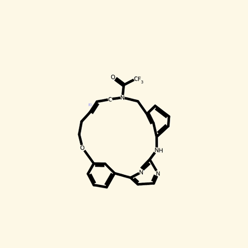 O=C(N1C/C=C/CCOc2cccc(c2)-c2ccnc(n2)Nc2cccc(c2)C1)C(F)(F)F